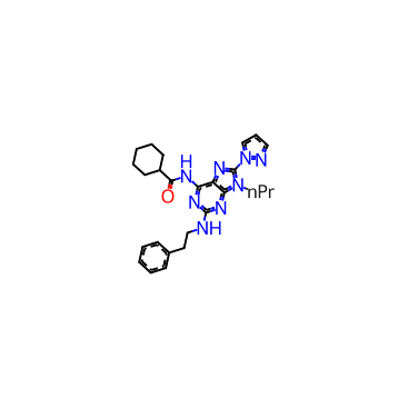 CCCn1c(-n2cccn2)nc2c(NC(=O)C3CCCCC3)nc(NCCc3ccccc3)nc21